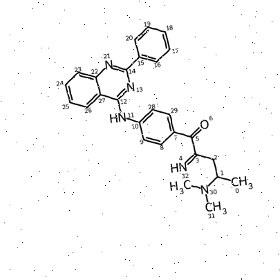 CC(CC(=N)C(=O)c1ccc(Nc2nc(-c3ccccc3)nc3ccccc23)cc1)N(C)C